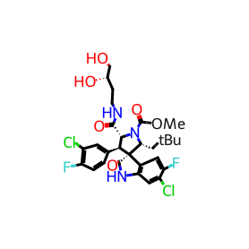 COC(=O)N1[C@@H](C(=O)NCC[C@H](O)CO)[C@H](c2ccc(F)c(Cl)c2)[C@@]2(C(=O)Nc3cc(Cl)c(F)cc32)[C@H]1CC(C)(C)C